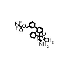 CN1C(=O)C(c2ccccc2)(c2cccc(-c3cccc(COC(=O)C(F)(F)F)c3)c2)N=C1N